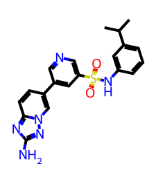 CC(C)c1cccc(NS(=O)(=O)c2cncc(-c3ccc4nc(N)nn4c3)c2)c1